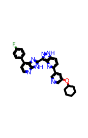 Fc1ccc(-c2ccnc3[nH]c(-c4n[nH]c5ccc(-c6cncc(OC7CCCCC7)c6)nc45)nc23)cc1